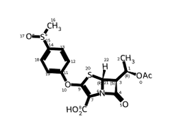 CC(=O)O[C@H](C)[C@H]1C(=O)N2C(C(=O)O)=C(Oc3ccc([S+](C)[O-])cc3)S[C@H]12